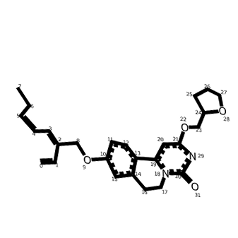 C=C/C(=C\C=C/CC)COc1ccc2c(c1)CCn1c-2cc(OCC2CCCO2)nc1=O